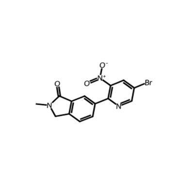 CN1Cc2ccc(-c3ncc(Br)cc3[N+](=O)[O-])cc2C1=O